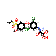 CCS(=O)(=O)c1cc(Oc2c(Cl)cc(NC(=O)C(=O)O)cc2Cl)ccc1O